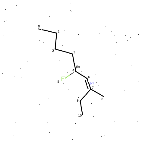 CCCC[C@@H](F)/C=C(/C)CC